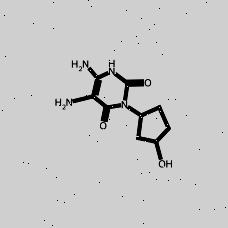 Nc1[nH]c(=O)n(C2CCC(O)C2)c(=O)c1N